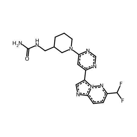 NC(=O)NCC1CCCN(c2cc(-c3cnc4ccc(C(F)F)nn34)ncn2)C1